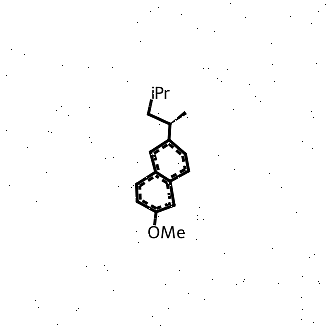 COc1ccc2cc([C@H](C)CC(C)C)ccc2c1